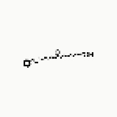 O=C(CCCCCCCCO)CCCCCCOCc1ccccc1